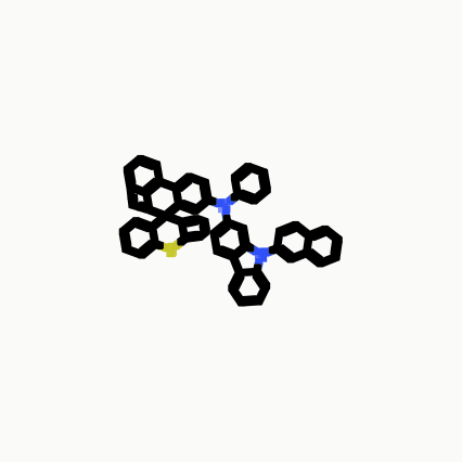 c1ccc(N(c2ccc3c(c2)C2(c4ccccc4Sc4ccccc42)c2cccc4cccc-3c24)c2ccc3c4ccccc4n(-c4ccc5ccccc5c4)c3c2)cc1